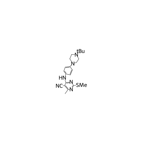 CSc1nc(C)c(C#N)c(Nc2ccc(N3CCN(C(C)(C)C)CC3)cc2)n1